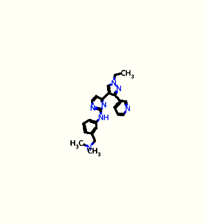 CCn1cc(-c2ccnc(Nc3cccc(CN(C)C)c3)n2)c(-c2cccnc2)n1